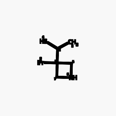 CC(C)C1(C(C)S)CNC1